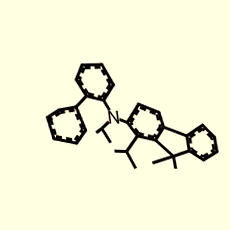 CC(C)c1c(N(c2ccccc2-c2ccccc2)C(C)C)ccc2c1C(C)(C)c1ccccc1-2